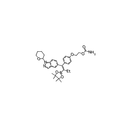 CCC(B1OC(C)(C)C(C)(C)O1)=C(c1ccc(OCCOC(N)=O)cc1)c1ccc2c(cnn2C2CCCCO2)c1